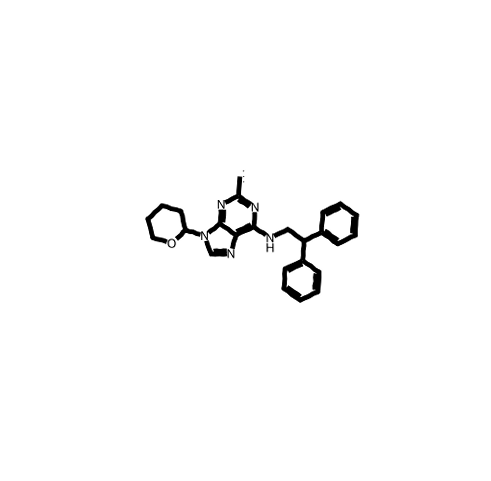 [C]c1nc(NCC(c2ccccc2)c2ccccc2)c2ncn(C3CCCCO3)c2n1